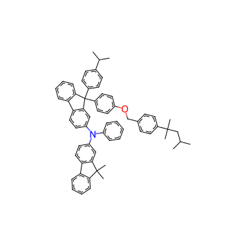 CC(C)CC(C)(C)c1ccc(COc2ccc(C3(c4ccc(C(C)C)cc4)c4ccccc4-c4ccc(N(c5ccccc5)c5ccc6c(c5)C(C)(C)c5ccccc5-6)cc43)cc2)cc1